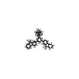 CC1(C)c2ccccc2-c2ccc(-c3cc(B4OC(C)(C)C(C)(C)O4)cc(C4=CC5C(C=C4)c4ccccc4C5(C)C)c3)cc21